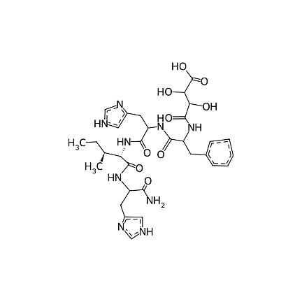 CC[C@H](C)[C@H](NC(=O)C(Cc1c[nH]cn1)NC(=O)C(Cc1ccccc1)NC(=O)C(O)C(O)C(=O)O)C(=O)NC(Cc1c[nH]cn1)C(N)=O